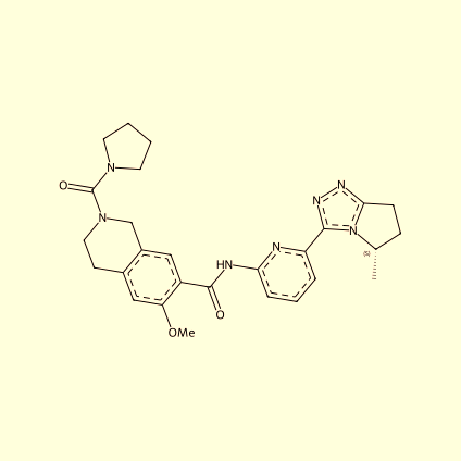 COc1cc2c(cc1C(=O)Nc1cccc(-c3nnc4n3[C@@H](C)CC4)n1)CN(C(=O)N1CCCC1)CC2